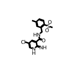 Cc1ccc(S(C)(=O)=O)c(CNC(=O)c2cc(Cl)c[nH]c2=N)c1